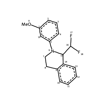 COc1cccc(N2CCc3ccccc3C2C(F)F)c1